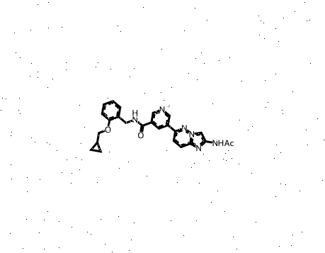 CC(=O)Nc1cn2nc(-c3cncc(C(=O)NCc4ccccc4OCC4CC4)c3)ccc2n1